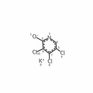 [K+].[O-]c1ncc(Cl)c(Cl)c1Cl